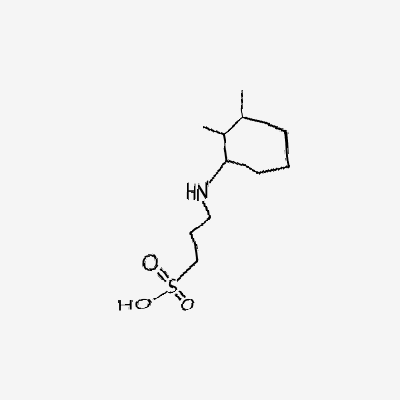 CC1CCCC(NCCCS(=O)(=O)O)C1C